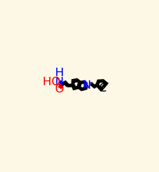 O=C(C=Cc1ccc2c(c1)CCN(CCC1CCCCC1)C2)NO